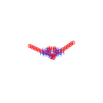 COCCOCCOCCOCCOCCOCCOCCOCCOCCOCC(=O)NCCCCC(NC(=O)CCCNC(=O)C(C(C(=O)NCCCC(=O)NC(CCCCNC(=O)COCCOCCOCCOCCOCCOCCOCCOCCOCCOC)C(=O)NCC(=O)NCC(=O)NC(C)C(=O)O)N1C(=O)C=CC1=O)N1C(=O)C=CC1=O)C(=O)NCC(=O)NCC(=O)NC(C)C(=O)O